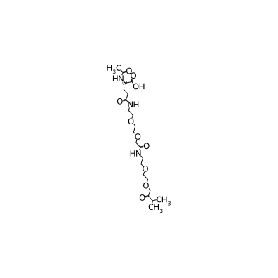 CC(=O)N[C@@H](CCC(=O)NCCOCCOCC(=O)NCCOCCOCC(=O)C(C)C)C(=O)O